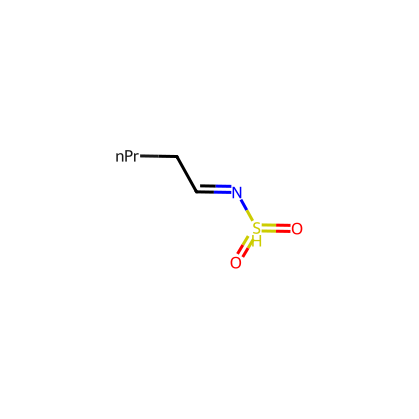 CCCCC=N[SH](=O)=O